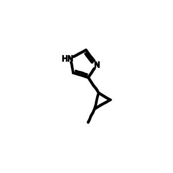 CC1CC1c1c[nH]cn1